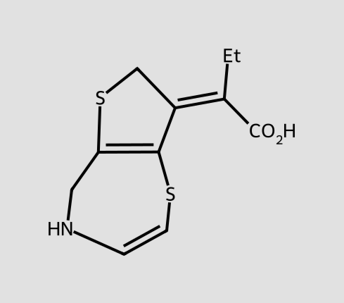 CCC(C(=O)O)=C1CSC2=C1SC=CNC2